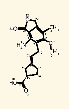 COc1c(C)c2c(c(N)c1CC=C1CC[C@@H](C(=O)O)C1)C(=O)OC2